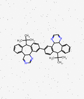 CC(C)(C)C1c2ccccc2C2C=NC=NC2c2cc(-c3ccc4c(c3)C3N=CC=NC3c3ccccc3C4C(C)(C)C)ccc21